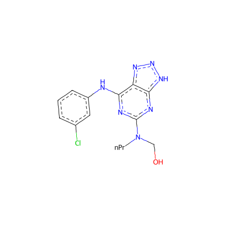 CCCN(CO)c1nc(Nc2cccc(Cl)c2)c2nn[nH]c2n1